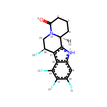 O=C1CCC[C@H]2c3[nH]c4cc(F)c(F)c(F)c4c3[C@@H](F)CN12